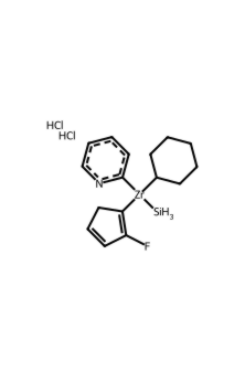 Cl.Cl.FC1=[C]([Zr]([SiH3])([c]2ccccn2)[CH]2CCCCC2)CC=C1